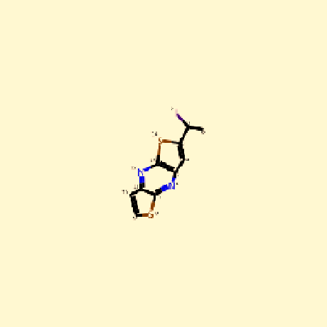 CC(I)c1cc2nc3sccc3nc2s1